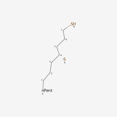 CCCCCCCCCCCCS.[S]